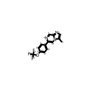 Cc1cnc2cnc(-c3ccc(OC(F)(F)F)cc3)cn12